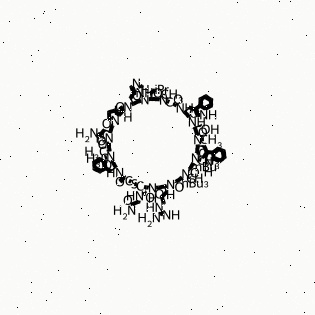 CCCC[C@H]1C(=O)N[C@@H](CCCNC(=N)N)C(=O)N[C@H](C(=O)NCC(N)=O)CSCC(=O)N[C@@H](Cc2ccccc2)C(=O)N(C)[C@@H](C)C(=O)N[C@@H](CC(N)=O)C(=O)N2CCC[C@H]2C(=O)N[C@@H](Cc2cnc[nH]2)C(=O)N[C@@H](CC(C)C)C(=O)N(C)CC(=O)N[C@@H](Cc2c[nH]c3ccccc23)C(=O)N[C@@H](CO)C(=O)N(C)[C@@H](Cc2c[nH]c3ccccc23)C(=O)N(C)[C@@H](CCCC)C(=O)N1C